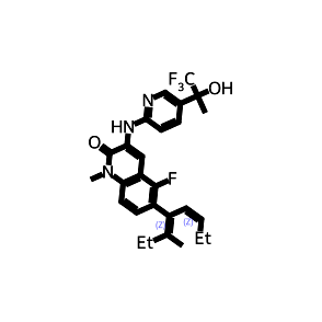 CC/C=C\C(=C(/C)CC)c1ccc2c(cc(Nc3ccc(C(C)(O)C(F)(F)F)cn3)c(=O)n2C)c1F